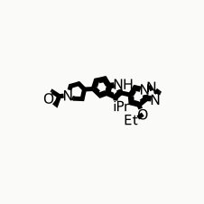 CCOc1cc(-c2[nH]c3ccc(C4CCN(C5COC5)CC4)cc3c2C(C)C)cn2ncnc12